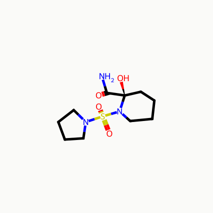 NC(=O)[C@]1(O)CCCCN1S(=O)(=O)N1CCCC1